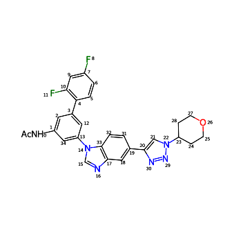 CC(=O)Nc1cc(-c2ccc(F)cc2F)cc(-n2cnc3cc(-c4cn(C5CCOCC5)nn4)ccc32)c1